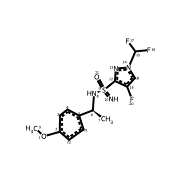 COc1ccc([C@H](C)N[S@](=N)(=O)c2nn(C(F)F)cc2F)cc1